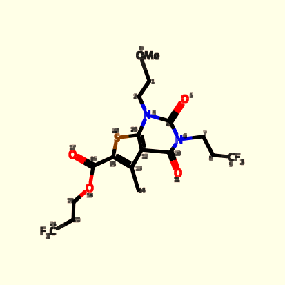 COCCn1c(=O)n(CCC(F)(F)F)c(=O)c2c(C)c(C(=O)OCCC(F)(F)F)sc21